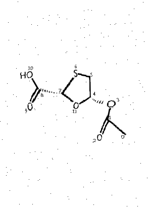 CC(=O)O[C@H]1CS[C@@H](C(=O)O)O1